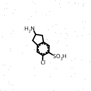 NC1Cc2cc(Cl)c(S(=O)(=O)O)cc2C1